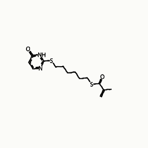 C=C(C)C(=O)SCCCCCCSc1nccc(=O)[nH]1